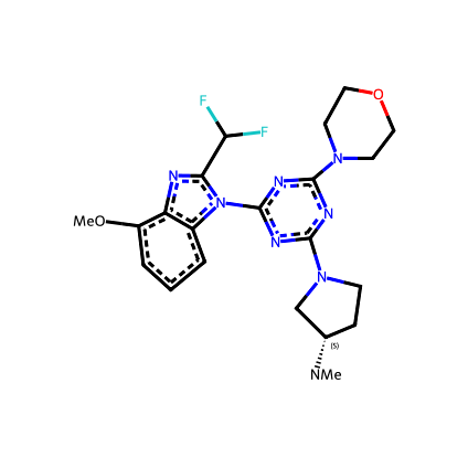 CN[C@H]1CCN(c2nc(N3CCOCC3)nc(-n3c(C(F)F)nc4c(OC)cccc43)n2)C1